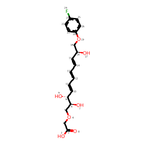 O=C(O)COC[C@H](O)[C@H](O)/C=C/C=C/C=C/[C@H](O)COc1ccc(F)cc1